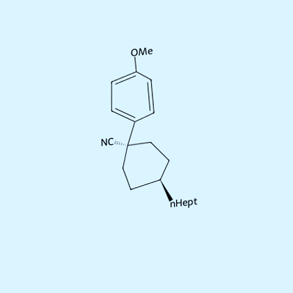 CCCCCCC[C@H]1CC[C@@](C#N)(c2ccc(OC)cc2)CC1